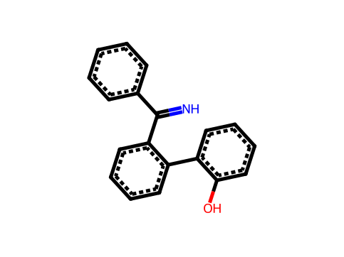 N=C(c1ccccc1)c1ccccc1-c1ccccc1O